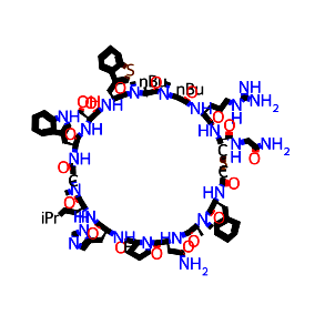 CCCC[C@H]1C(=O)N(C)[C@@H](CCCC)C(=O)N[C@@H](CCCNC(=N)N)C(=O)N[C@H](C(=O)NCC(N)=O)CSCC(=O)N[C@@H](Cc2ccccc2)C(=O)N(C)[C@@H](C)C(=O)N[C@@H](CC(N)=O)C(=O)N2CCC[C@H]2C(=O)N[C@@H](Cc2cnc[nH]2)C(=O)N[C@@H](CCC(C)C)C(=O)N(C)CC(=O)N[C@@H](Cc2c[nH]c3ccccc23)C(=O)N[C@@H](CO)C(=O)N[C@@H](Cc2csc3ccccc23)C(=O)N1C